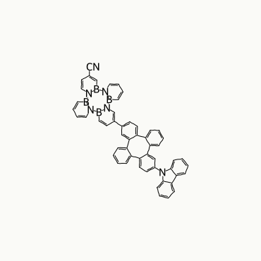 N#CC1=CB2N(C=C1)B1C=CC=CN1B1C=CC(c3ccc4c(c3)-c3ccccc3-c3ccc(-n5c6ccccc6c6ccccc65)cc3-c3ccccc3-4)=CN1B1C=CC=CN21